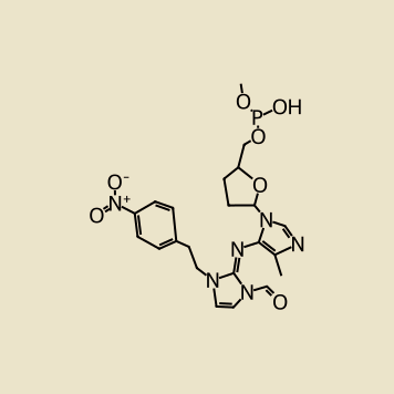 COP(O)OCC1CCC(n2cnc(C)c2/N=c2\n(C=O)ccn2CCc2ccc([N+](=O)[O-])cc2)O1